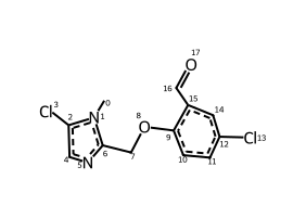 Cn1c(Cl)cnc1COc1ccc(Cl)cc1C=O